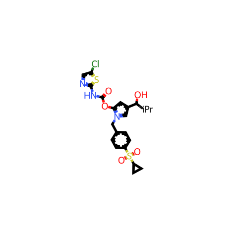 CC(C)C(O)c1cc(OC(=O)Nc2ncc(Cl)s2)n(Cc2ccc(S(=O)(=O)C3CC3)cc2)c1